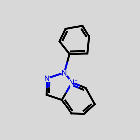 c1ccc(-n2ncc3cccc[n+]32)cc1